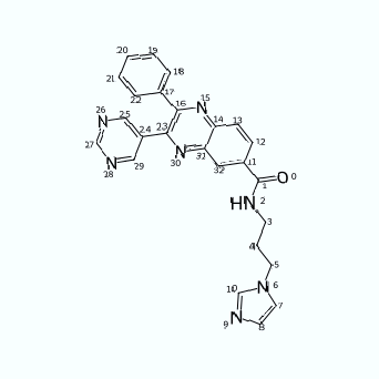 O=C(NCCCn1ccnc1)c1ccc2nc(-c3ccccc3)c(-c3cncnc3)nc2c1